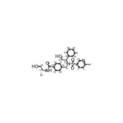 Cc1ccc(S(=O)(=O)N(Cc2ccc(C(=O)N[C@H](C)CO)cc2)C(CO)c2ccccc2)cn1